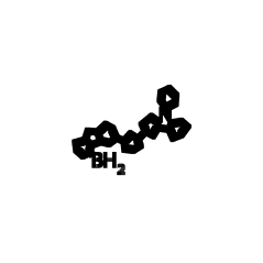 Bc1cccc2c1-c1cc(-c3cccc(-c4ccc5c(c4)c4ccccc4n5-c4ccccc4)c3)ccc1C2